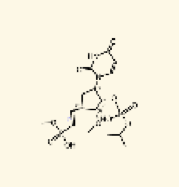 CO[C@H]1[C@@H](OP(=O)(O)OC(C)C)[C@@H](n2ccc(=O)[nH]c2=O)C[C@@H]1/C=C/P(=O)(O)OC